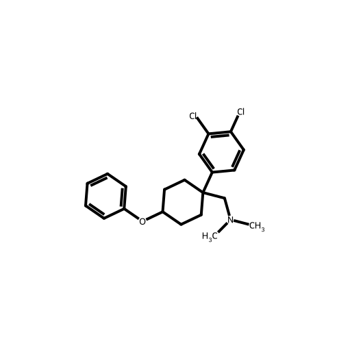 CN(C)CC1(c2ccc(Cl)c(Cl)c2)CCC(Oc2ccccc2)CC1